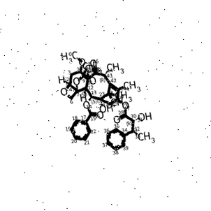 COC1C[C@H]2OC[C@@]2(OC(C)=O)[C@H]2[C@H](OC(=O)c3ccccc3)[C@]3(O)CC(OC(=O)[C@H](O)[C@@H](C)c4ccccc4)C(C)=C([C@@H](C)C(=O)C12C)C3(C)C